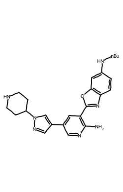 CCCCNc1ccc2nc(-c3cc(-c4cnn(C5CCNCC5)c4)cnc3N)oc2c1